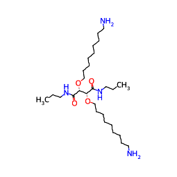 CCCNC(=O)[C@H](OCCCCCCCCCN)[C@@H](OCCCCCCCCCN)C(=O)NCCC